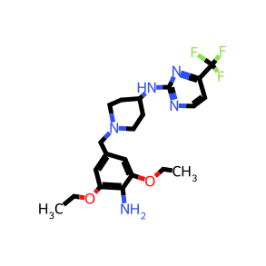 CCOc1cc(CN2CCC(Nc3nccc(C(F)(F)F)n3)CC2)cc(OCC)c1N